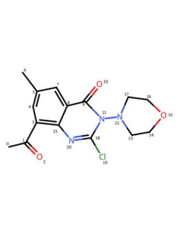 CC(=O)c1cc(C)cc2c(=O)n(N3CCOCC3)c(Cl)nc12